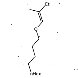 CCCCCCCCCCOC=C(C)CC